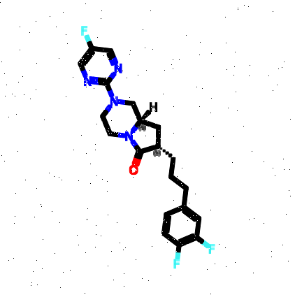 O=C1[C@@H](CCCc2ccc(F)c(F)c2)C[C@H]2CN(c3ncc(F)cn3)CCN12